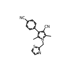 Cc1c(C#N)c(-c2ccc(C#N)cc2)c(C)n1Cc1nccs1